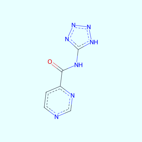 O=C(Nc1nnn[nH]1)c1ccncn1